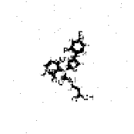 CN1C=CC(=O)C(N(C(=O)NCCC(=O)O)c2cc(-c3ccc(F)cc3F)cs2)C1=O